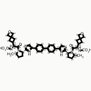 C[C@H]1CC[C@@H](c2ncc(-c3ccc(-c4ccc(-c5cnc([C@@H]6CC[C@H](C)N6C(=O)[C@@H](NC(=O)O)C6CC7(COC7)C6)[nH]5)cc4)cc3)[nH]2)N1C(=O)[C@@H](NC(=O)O)C1CC2(COC2)C1